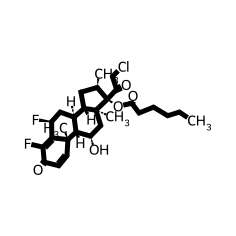 CCCCCC(=O)O[C@@]1(C(=O)CCl)[C@@H](C)C[C@H]2[C@@H]3C[C@H](F)C4=C(F)C(=O)C=C[C@]4(C)[C@H]3[C@@H](O)C[C@@]21C